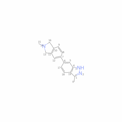 Cc1n[nH]c2cc(-c3ccc4c(c3)CN(C)C4)ccc12